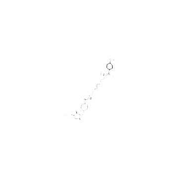 CC(C)(C)c1ccc(C(=O)NCCOCCOCCNC(=O)C2CCC(CN3C(=O)CC(C(C)(C)C)C3=O)CC2)cc1